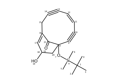 CC(C)(C)[Si](C)(C)OC12C#C/C=C\C#CCC(=CC(O)C1)C2=O